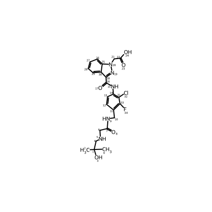 CC(C)(O)CNCC(=O)NCc1ccc(NC(=O)c2nn(CC(=O)O)c3ccccc23)c(Cl)c1F